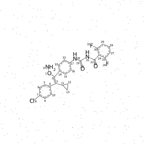 NOC(=C(c1ccc(Cl)cc1)C1CC1)c1ccc(NC(=O)NC(=O)c2c(F)cccc2F)cc1